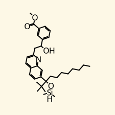 CCCCCCCCC(O[SiH](C)C)(c1ccc2ccc(CC(O)c3cccc(C(=O)OC)c3)nc2c1)C(C)(C)C